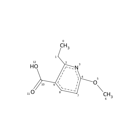 CCc1nc(OC)ccc1C(=O)O